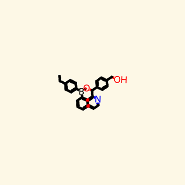 CCc1ccc(B(OC(c2ccc(CO)cc2)c2ccccn2)c2ccccc2)cc1